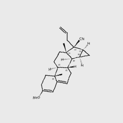 C=CC[C@]1(C#N)[C@H]2C[C@H]2[C@H]2[C@@H]3CC=C4C=C(OC)CC[C@]4(C)[C@H]3CC[C@@]21C